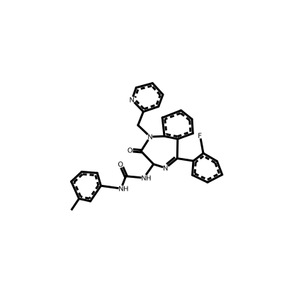 Cc1cccc(NC(=O)NC2N=C(c3ccccc3F)c3ccccc3N(Cc3ccccn3)C2=O)c1